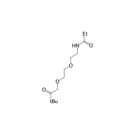 CCC(=O)NCCOCCOCC(=O)C(C)(C)C